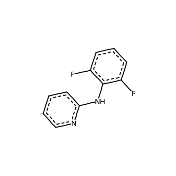 Fc1cccc(F)c1Nc1cc[c]cn1